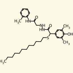 CCCCCCCCCCCCSC(C(=O)NNCC(=O)Nc1ccccc1C)c1cc(C)c(O)c(C)c1